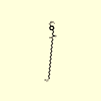 CCCCCCCCCCCCCCCCCCCCCCNC(=O)CCc1ccc(OC)cc1